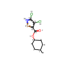 CC1CCC(OC(=O)c2snc(Cl)c2Cl)CC1